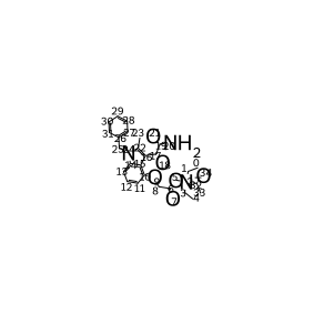 CC[N+](CC)(OC(=O)COc1cccc2c1c(C(=O)C(N)=O)c(C)n2Cc1ccccc1)C(C)=O